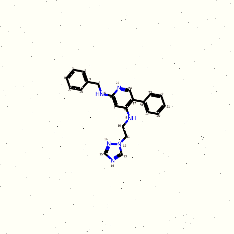 c1ccc(CNc2cc(NCCn3cncn3)c(-c3ccccc3)cn2)cc1